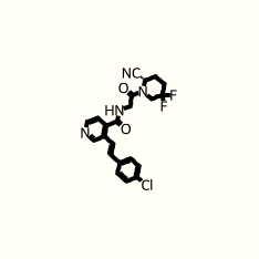 N#C[C@@H]1CCC(F)(F)CN1C(=O)CNC(=O)c1ccncc1/C=C/c1ccc(Cl)cc1